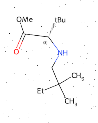 CCC(C)(C)CN[C@H](C(=O)OC)C(C)(C)C